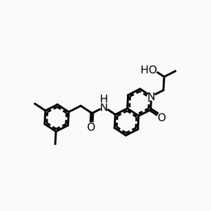 Cc1cc(C)cc(CC(=O)Nc2cccc3c(=O)n(CC(C)O)ccc23)c1